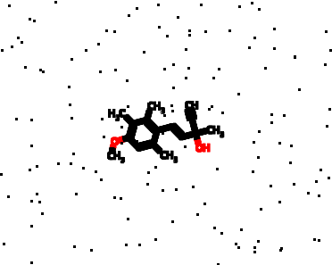 C#CC(C)(O)C=Cc1c(C)cc(OC)c(C)c1C